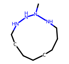 CN1NCCCCCCCCNN1